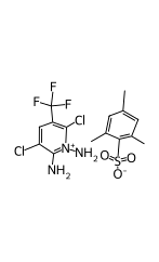 Cc1cc(C)c(S(=O)(=O)[O-])c(C)c1.Nc1c(Cl)cc(C(F)(F)F)c(Cl)[n+]1N